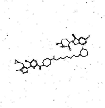 Cn1ncc(-c2nc(NC3CCC(NCCCCCCCN4CCCC(c5cc(F)cc6c5CN(C5CCC(=O)NC5=O)C6=O)C4)CC3)ncc2Cl)c1CC1CC1